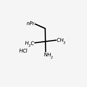 CCCCC(C)(C)N.Cl